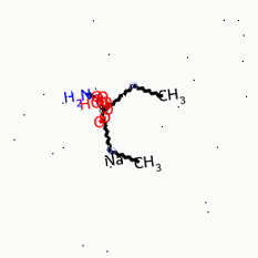 CCCCCCCC/C=C\CCCCCCCC(=O)OC[C@H](COP(=O)(O)OCCN)OC(=O)CCCCCCC/C=C\CCCCCCCC.[Na]